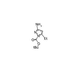 CCc1cc(N)nn1C(=O)OC(C)(C)C